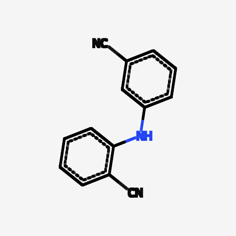 N#Cc1cccc(Nc2ccccc2C#N)c1